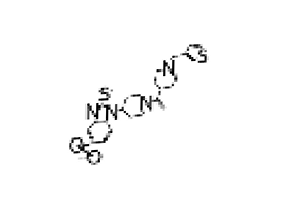 C=C(C1CCN(Cc2ccsc2)CC1)N1CCC(n2c(SC)nc3cc(S(C)(=O)=O)ccc32)CC1